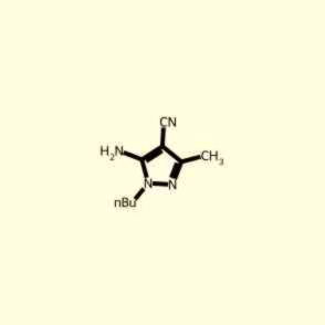 CCCCn1nc(C)c(C#N)c1N